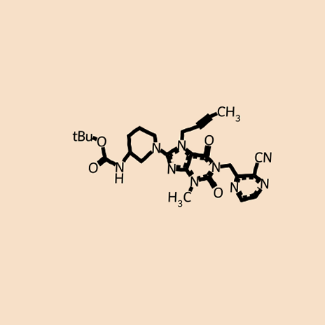 CC#CCn1c(N2CCCC(NC(=O)OC(C)(C)C)C2)nc2c1c(=O)n(Cc1nccnc1C#N)c(=O)n2C